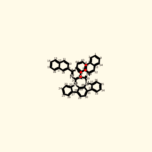 c1ccc2cc(-c3nc(-c4ccc5ccccc5c4)nc(-n4c5ccccc5c5ccc6c7ccccc7n(-c7nc8ccccc8s7)c6c54)n3)ccc2c1